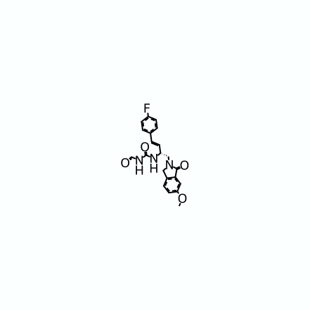 COc1ccc2c(c1)C(=O)N(C[C@@H](/C=C/c1ccc(F)cc1)NC(=O)NC=O)C2